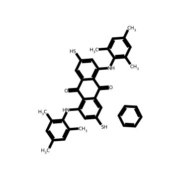 Cc1cc(C)c(Nc2cc(S)cc3c2C(=O)c2cc(S)cc(Nc4c(C)cc(C)cc4C)c2C3=O)c(C)c1.c1ccccc1